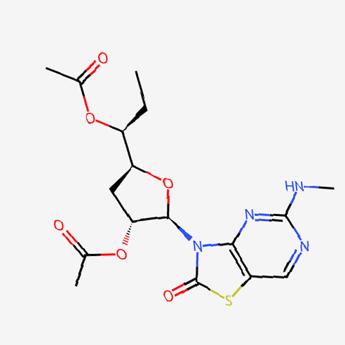 CC[C@H](OC(C)=O)[C@@H]1C[C@@H](OC(C)=O)[C@H](n2c(=O)sc3cnc(NC)nc32)O1